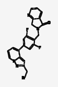 O=C1c2cccnc2CN1Cc1c(F)cc(-c2cccn3nc(CBr)cc23)cc1F